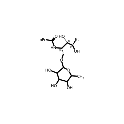 CCCC(=O)N[C@@H](COC1OC(C)C(O)C(O)C1O)[C@H](O)[C@H](O)CC